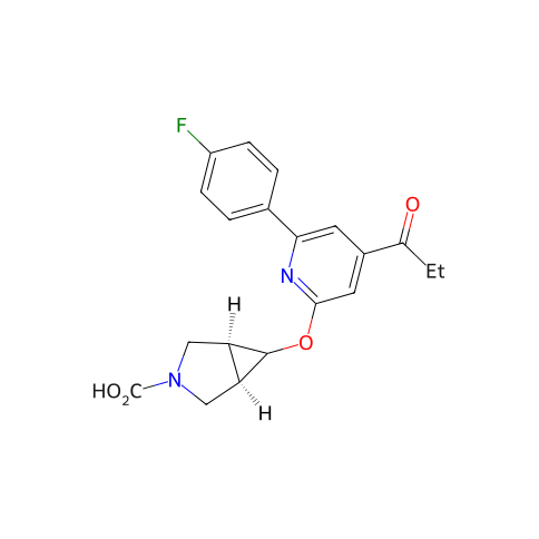 CCC(=O)c1cc(OC2[C@H]3CN(C(=O)O)C[C@@H]23)nc(-c2ccc(F)cc2)c1